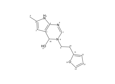 Cc1cc2c([nH]1)N=CN(CCc1ccco1)C2O